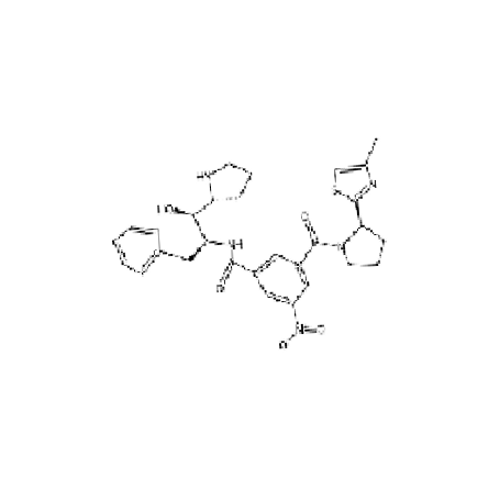 Cc1csc([C@H]2CCCN2C(=O)c2cc(C(=O)N[C@@H](Cc3ccccc3)[C@@H](O)[C@H]3CCCN3)cc([N+](=O)[O-])c2)n1